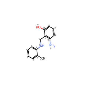 N#Cc1ccccc1NCc1c(N)cccc1O